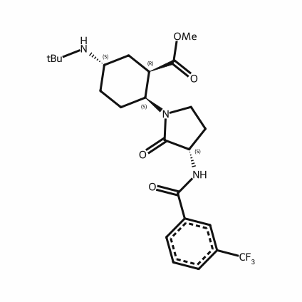 COC(=O)[C@@H]1C[C@@H](NC(C)(C)C)CC[C@@H]1N1CC[C@H](NC(=O)c2cccc(C(F)(F)F)c2)C1=O